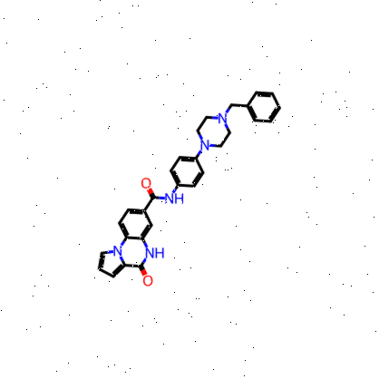 O=C(Nc1ccc(N2CCN(Cc3ccccc3)CC2)cc1)c1ccc2c(c1)[nH]c(=O)c1cccn12